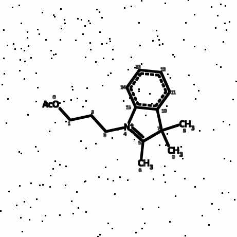 CC(=O)OCCC[N+]1=C(C)C(C)(C)c2ccccc21